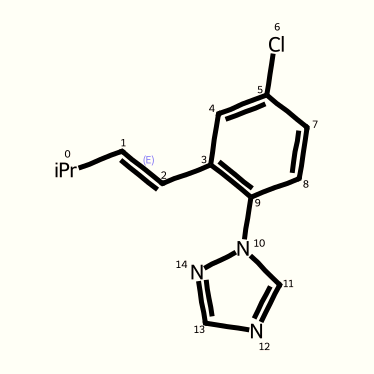 CC(C)/C=C/c1cc(Cl)ccc1-n1cncn1